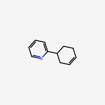 C1=CCC(c2ccccn2)CC1